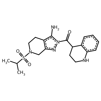 CC(C)S(=O)(=O)N1CCc2c(nn(C(=O)C3CCNc4ccccc43)c2N)C1